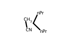 CC#N.CCCCCCC